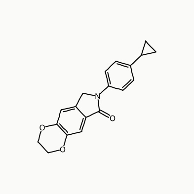 O=C1c2cc3c(cc2CN1c1ccc(C2CC2)cc1)OCCO3